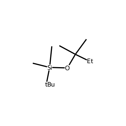 [CH2]CC(C)(C)O[Si](C)(C)C(C)(C)C